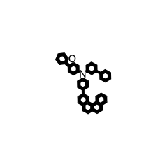 c1ccc(-c2cccc(N(c3ccc(-c4ccc5ccc6ccc7ccccc7c6c5c4)cc3)c3ccc4c(c3)oc3ccccc34)c2)cc1